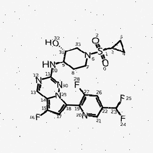 O=S(=O)(C1CC1)N1CC[C@@H](Nc2ncc3c(F)cc(-c4ncc(C(F)F)cc4F)n3n2)[C@H](O)C1